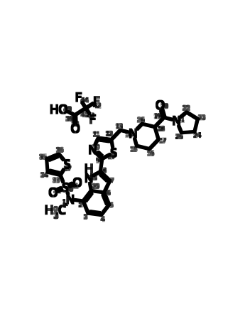 CN(c1cccc2cc(-c3ncc(CN4CCCC(C(=O)N5CCCC5)C4)s3)[nH]c12)S(=O)(=O)c1cccs1.O=C(O)C(F)(F)F